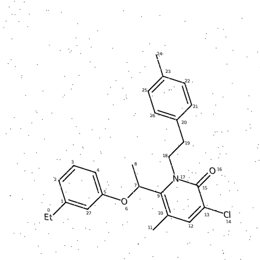 CCc1cccc(OC(C)c2c(C)cc(Cl)c(=O)n2CCc2ccc(C)cc2)c1